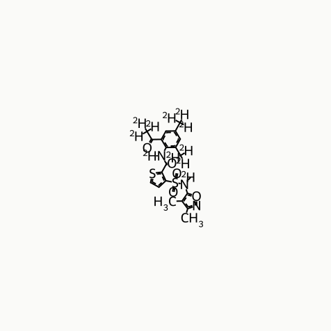 [2H]N(C(=O)c1sccc1S(=O)(=O)N([2H])c1onc(C)c1C)c1c(C(=O)C([2H])([2H])[2H])cc(C([2H])([2H])[2H])cc1C([2H])([2H])[2H]